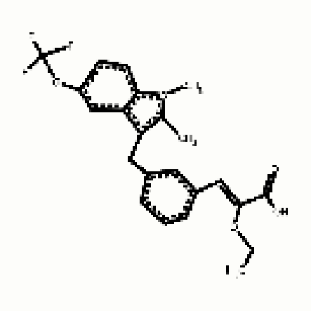 CCOC(=Cc1cccc(Cc2c(C)n(C)c3ccc(OC(F)(F)F)cc23)c1)C(=O)O